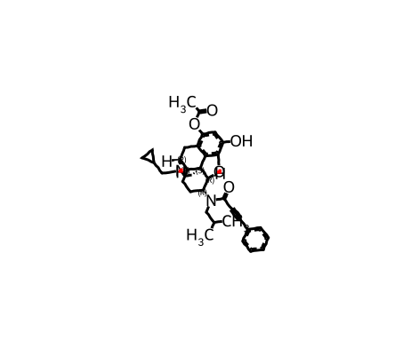 CC(=O)Oc1cc(O)c2c3c1C[C@@H]1[C@@H]4CC[C@@H](N(CC(C)C)C(=O)C#Cc5ccccc5)[C@H](O2)[C@]34CCN1CC1CC1